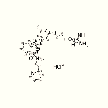 Cc1cc(OCCCONC(=N)N)cc(OS(=O)(=O)c2ccccc2S(=O)(=O)N(C)CCc2ccccn2)c1.Cl